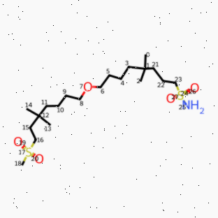 CC(C)(CCCCOCCCCC(C)(C)CCS(C)(=O)=O)CCCS(N)(=O)=O